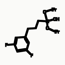 CC(C)O[Si](O)(CCCc1cc(F)cc(F)c1)OC(C)C